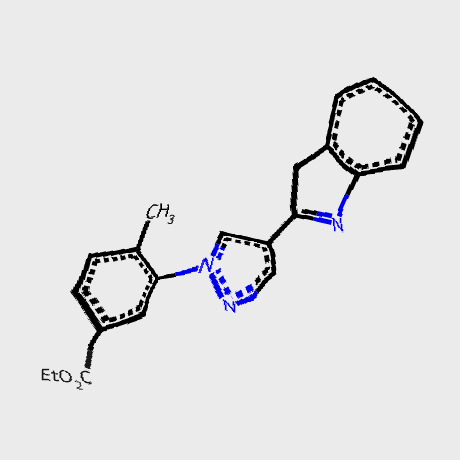 CCOC(=O)c1ccc(C)c(-n2cc(C3=Nc4ccccc4C3)cn2)c1